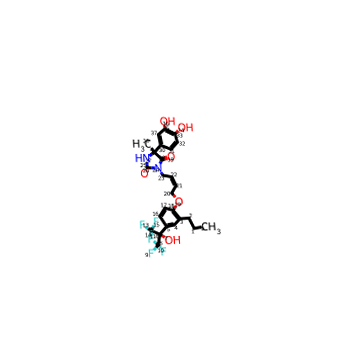 CCCc1cc(C(O)(C(F)(F)F)C(F)(F)F)ccc1OC/C=C\CN1C(=O)NC(C)(c2ccc(O)c(O)c2)C1=O